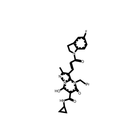 Cc1nn2c(O)c(C(=O)NC3CC3)c(=O)n(CC(C)C)c2c1/C=C/C(=O)N1CCc2cc(F)ccc21